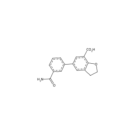 NC(=O)c1cccc(-c2cc3c(c(C(=O)O)c2)OCC3)c1